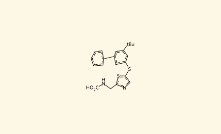 CC(C)(C)c1cc(Sc2cnc(CNC(=O)O)s2)cc(-c2ccccc2)c1